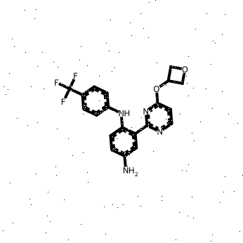 Nc1ccc(Nc2ccc(C(F)(F)F)cc2)c(-c2nccc(OC3COC3)n2)c1